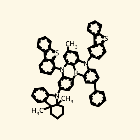 Cc1cc2c3c(c1)N(c1cccc4c1sc1ccccc14)c1cc(N4c5ccccc5C5(C)CCCCC45C)ccc1B3c1cc(-c3ccccc3)ccc1N2c1ccc2sc3ccccc3c2c1